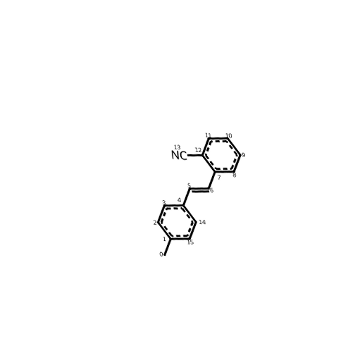 Cc1ccc(C=Cc2ccccc2C#N)cc1